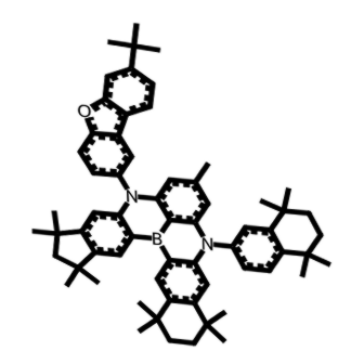 Cc1cc2c3c(c1)N(c1ccc4oc5cc(C(C)(C)C)ccc5c4c1)c1cc4c(cc1B3c1cc3c(cc1N2c1ccc2c(c1)C(C)(C)CCC2(C)C)C(C)(C)CCC3(C)C)C(C)(C)CC4(C)C